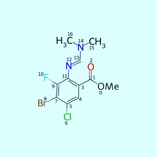 COC(=O)c1cc(Cl)c(Br)c(F)c1N=CN(C)C